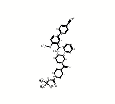 COc1ccc(-c2ccc(C#N)cc2)cc1CN[C@H]1CCN(C(=O)C2CCN(C(=O)OC(C)(C)C)CC2)C[C@H]1c1ccccc1